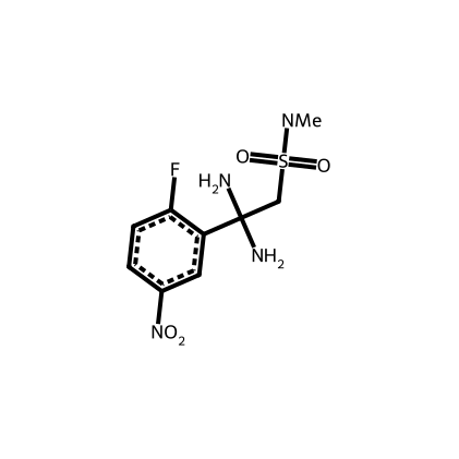 CNS(=O)(=O)CC(N)(N)c1cc([N+](=O)[O-])ccc1F